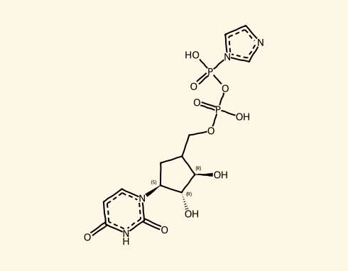 O=c1ccn([C@H]2CC(COP(=O)(O)OP(=O)(O)n3ccnc3)[C@@H](O)[C@@H]2O)c(=O)[nH]1